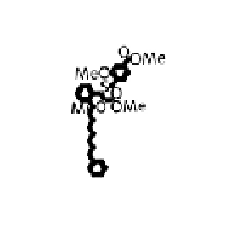 COC(=O)c1ccc(CSC(c2ccccc2CCCCCCCCc2ccccc2)C(OC)C(=O)OC)c(OC)c1